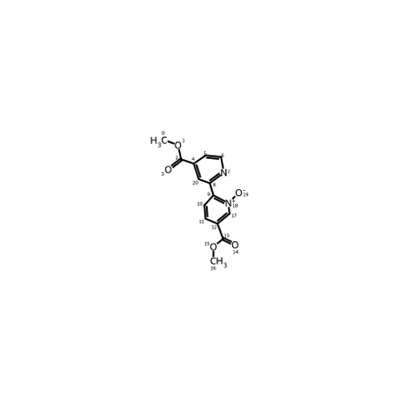 COC(=O)c1ccnc(-c2ccc(C(=O)OC)c[n+]2[O-])c1